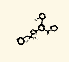 C[C@@](N)(Cc1ccccc1)c1cnc(-c2cc(C(=O)N3CCCC3)cc(-c3ccccc3C#N)c2)o1